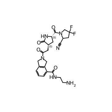 N#CC1CC(F)(F)CN1C(=O)[C@@H]1C[C@@H](CC(=O)N2Cc3cccc(C(=O)NCCN)c3C2)C(=O)N1